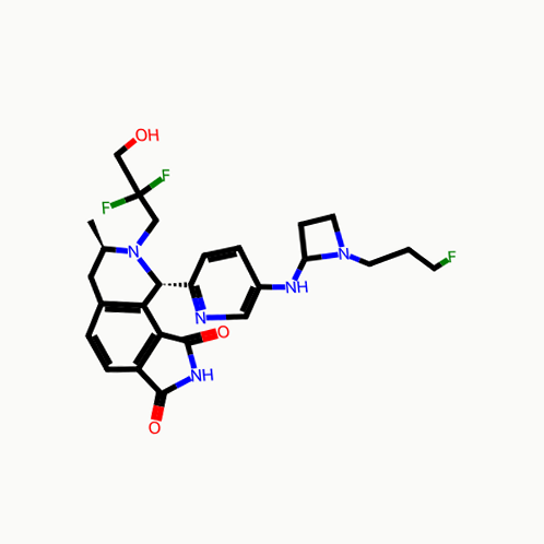 C[C@@H]1Cc2ccc3c(c2[C@@H](c2ccc(NC4CCN4CCCF)cn2)N1CC(F)(F)CO)C(=O)NC3=O